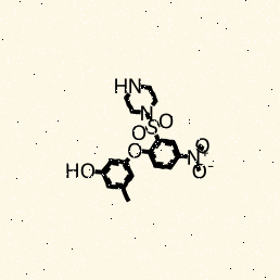 Cc1cc(O)cc(Oc2ccc([N+](=O)[O-])cc2S(=O)(=O)N2CCNCC2)c1